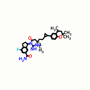 CC[C@@]1(CCC2CC2c2ccc3c(c2)[C@@H](C)CC(C)(C)O3)CC(=O)N([C@@H]2CCc3c(F)cc(C(N)=O)cc32)C(=N)N1